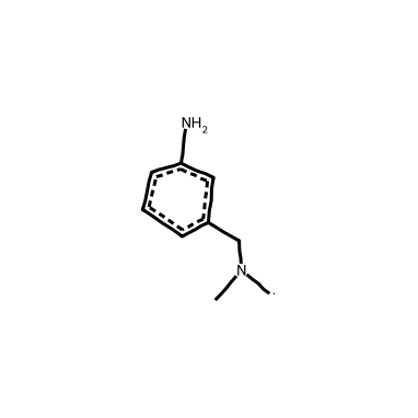 [CH2]N(C)Cc1cccc(N)c1